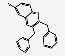 Brc1ccc2nc(Cc3ccccc3)c(Cc3ccccc3)cc2c1